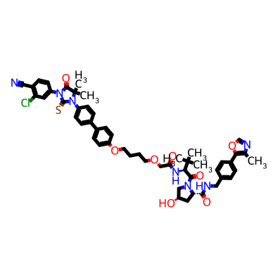 Cc1ncoc1-c1ccc(CNC(=O)[C@@H]2C[C@@H](O)CN2C(=O)[C@@H](NC(=O)COCCCCOc2ccc(-c3ccc(N4C(=S)N(c5ccc(C#N)c(Cl)c5)C(=O)C4(C)C)cc3)cc2)C(C)(C)C)cc1